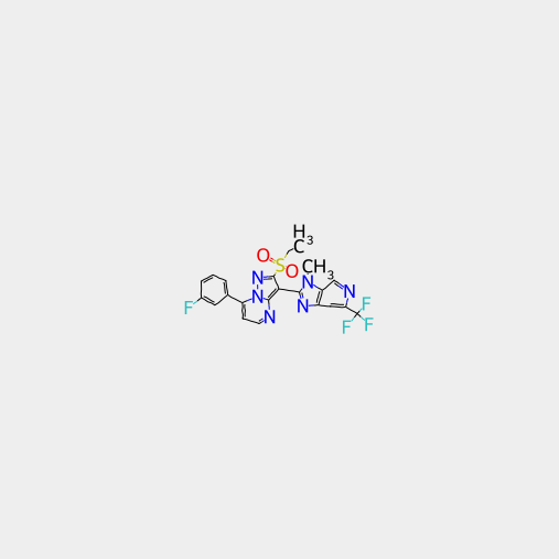 CCS(=O)(=O)c1nn2c(-c3cccc(F)c3)ccnc2c1-c1nc2cc(C(F)(F)F)ncc2n1C